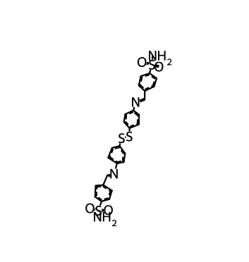 NS(=O)(=O)c1ccc(C=Nc2ccc(SSc3ccc(N=Cc4ccc(S(N)(=O)=O)cc4)cc3)cc2)cc1